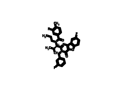 Cc1ccc(C(=O)N(CCN)[C@@H](c2nc3c(oc4ccc(F)cc43)c(=O)n2Cc2cccc(F)c2)C(C)C)cc1F